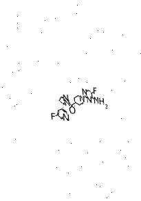 Nc1nc(N2CCC(C(=O)N3N=CC[C@H]3c3cncc(F)c3)CC2)ncc1F